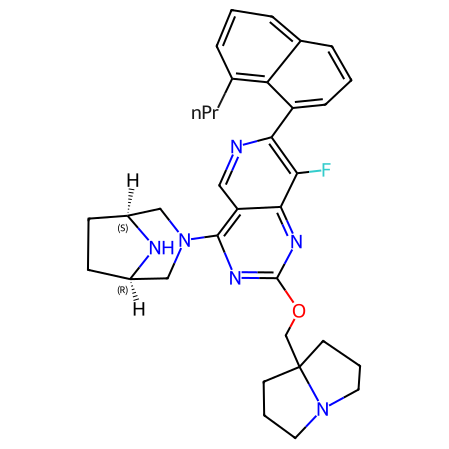 CCCc1cccc2cccc(-c3ncc4c(N5C[C@H]6CC[C@@H](C5)N6)nc(OCC56CCCN5CCC6)nc4c3F)c12